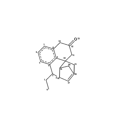 CCC(C)c1cccc2c1C1(CC(=O)C2)CC2=CCC1C2